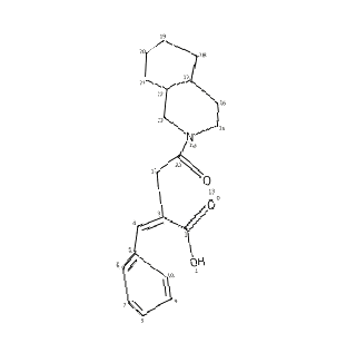 O=C(O)C(=Cc1ccccc1)CC(=O)N1CCC2CCCCC2C1